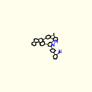 C=C1c2ccc(-c3ccc4c(ccc5ccccc54)c3)cc2-c2c1ccnc2-c1cc(-c2ccccc2)cc(-c2ccc(-c3ccccc3C#N)cc2)n1